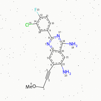 COCC#Cc1cc2nc(-c3ccc(F)c(Cl)c3)nc(N)c2cc1N